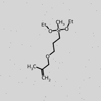 C=C(C)COCCC[Si](C)(OCC)OCC